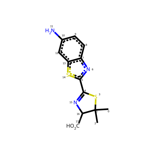 CC1(C)SC(c2nc3ccc(N)cc3s2)=NC1C(=O)O